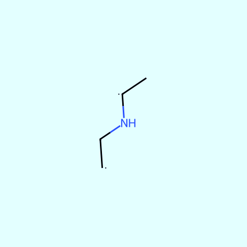 [CH2]CN[CH]C